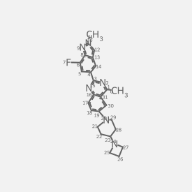 Cc1nc(-c2cc(F)c3nn(C)cc3c2)nc2ccc(N3CCC(N4CCC4)CC3)cc12